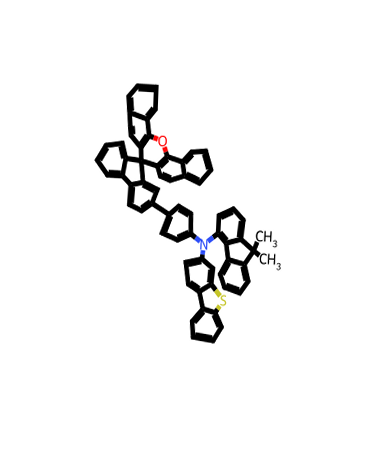 CC1(C)c2ccccc2-c2c(N(c3ccc(-c4ccc5c(c4)C4(c6ccccc6-5)c5ccc6ccccc6c5Oc5c4ccc4ccccc54)cc3)c3ccc4c(c3)sc3ccccc34)cccc21